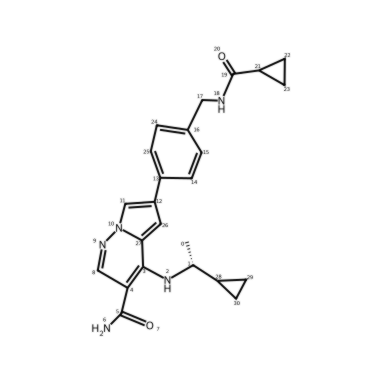 C[C@@H](Nc1c(C(N)=O)cnn2cc(-c3ccc(CNC(=O)C4CC4)cc3)cc12)C1CC1